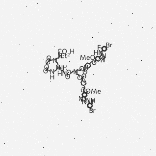 CCN(CCN1CCN(NCCNC(=O)OCCN(CCOC(=O)N2CCC(COc3cc4ncnc(Nc5ccc(Br)cc5F)c4cc3OC)CC2)CCOC(=O)N2CCC(COc3cc4ncnc(Nc5ccc(Br)cc5F)c4cc3OC)CC2)CCNCC(=O)OCOC(=O)C1)CC(=O)O